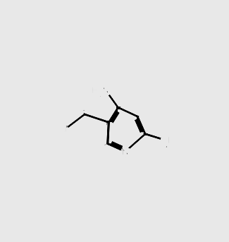 Nc1cc(Cl)ncc1CCl